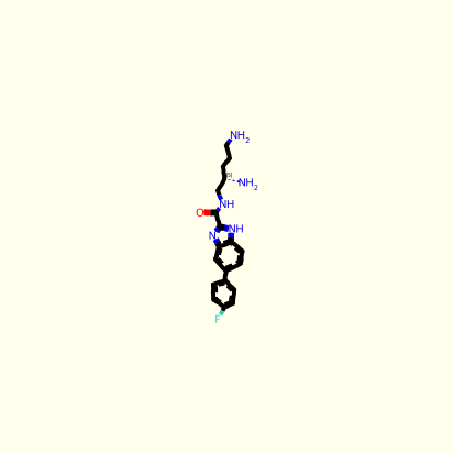 NCCC[C@H](N)CNC(=O)c1nc2cc(-c3ccc(F)cc3)ccc2[nH]1